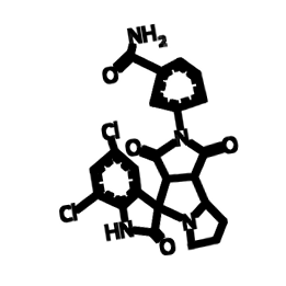 NC(=O)c1cccc(N2C(=O)C3C4CCCN4C4(C(=O)Nc5c(Cl)cc(Cl)cc54)C3C2=O)c1